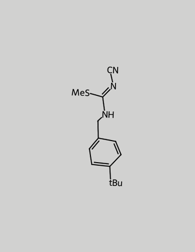 CS/C(=N\C#N)NCc1ccc(C(C)(C)C)cc1